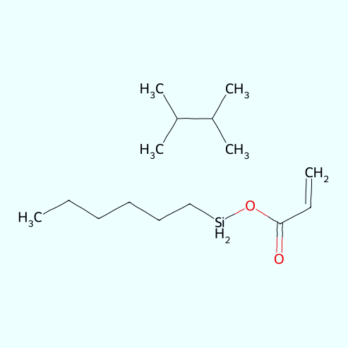 C=CC(=O)O[SiH2]CCCCCC.CC(C)C(C)C